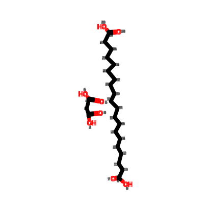 O=C(O)CC(=O)O.O=C(O)CCCCCCCCCCCCCCCCCCC(=O)O